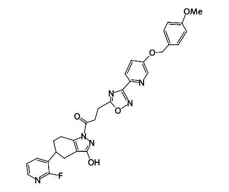 COc1ccc(COc2ccc(-c3noc(CCC(=O)n4nc(O)c5c4CCC(c4cccnc4F)C5)n3)nc2)cc1